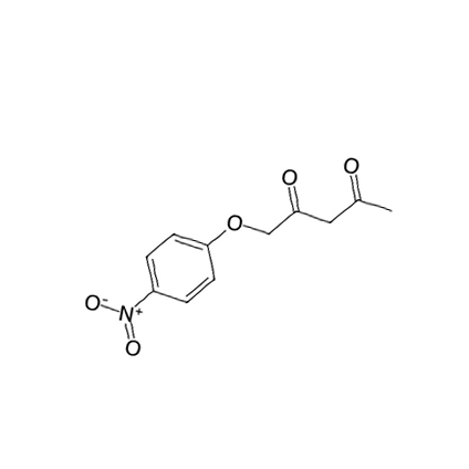 CC(=O)CC(=O)COc1ccc([N+](=O)[O-])cc1